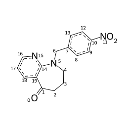 O=C1CCCN(Cc2ccc([N+](=O)[O-])cc2)c2ncccc21